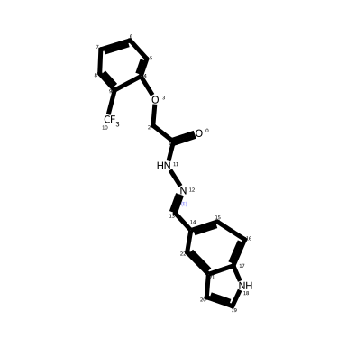 O=C(COc1ccccc1C(F)(F)F)N/N=C/c1ccc2[nH]ccc2c1